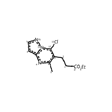 CCOC(=O)CCc1c(C)nc2ccnn2c1Cl